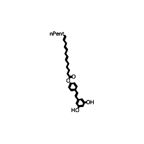 CCCCCC=CCC=CCC=CCCCCC(=O)Oc1ccc(C=Cc2cc(O)cc(O)c2)cc1